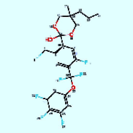 C=C(/C(F)=C\[C@@H](CCF)C1(O)OCC(C)(CCC)CO1)C(F)(F)OC1=CC(F)=C(F)C(F)C1